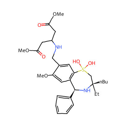 CCCC[C@]1(CC)CS(O)(O)c2cc(CNC(CC(=O)OC)CC(=O)OC)c(OC)cc2[C@H](c2ccccc2)N1